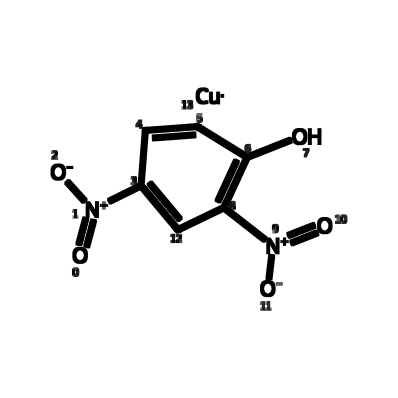 O=[N+]([O-])c1ccc(O)c([N+](=O)[O-])c1.[Cu]